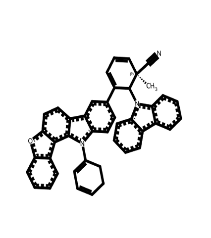 C[C@@]1(C#N)C=CC=C(c2ccc3c(c2)c2ccc4oc5ccccc5c4c2n3C2=CC=CCC2)C1n1c2ccccc2c2ccccc21